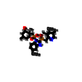 COc1ccc2c(c1)nc([S@@+]([O-])Cc1ncc(C)c(OC)c1C)n2S(=O)(=O)CC1(C(C)C)CCC(C)CC1=O